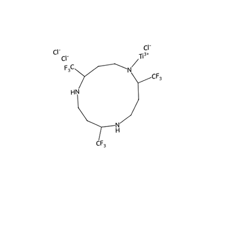 FC(F)(F)C1CCNC(C(F)(F)F)CC[N]([Ti+3])C(C(F)(F)F)CCN1.[Cl-].[Cl-].[Cl-]